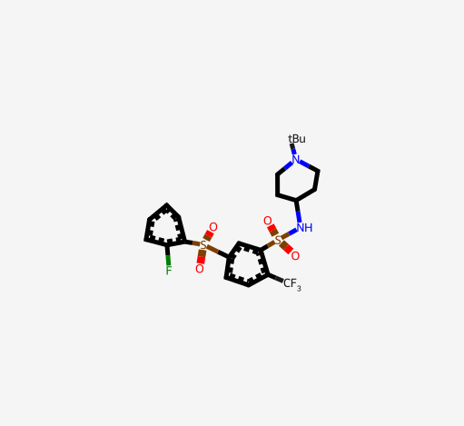 CC(C)(C)N1CCC(NS(=O)(=O)c2cc(S(=O)(=O)c3ccccc3F)ccc2C(F)(F)F)CC1